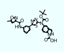 Cc1cc(C(=O)Nc2cccc(-c3nnc(N(C(=O)OC(C)(C)C)c4ccc5c(cnn5C(=O)O)c4)s3)c2)no1